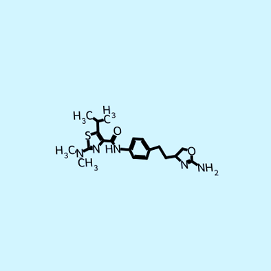 CC(C)c1sc(N(C)C)nc1C(=O)Nc1ccc(CCC2COC(N)=N2)cc1